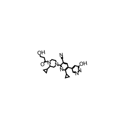 N#Cc1cc(-c2cnnc(O)c2)c(C2CC2)nc1N1CCN(C(=O)CCO)C(C2CC2)C1